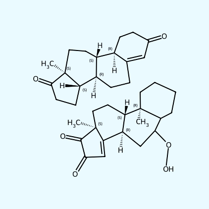 C[C@]12CC[C@H]3[C@@H](CC(OO)C4CCCC[C@@]43C)C1=CC(=O)C2=O.C[C@]12CC[C@H]3[C@@H](CCC4=CC(=O)CC[C@@H]43)[C@@H]1CCC2=O